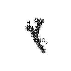 CC(C)c1ccccc1C1CCCN1C1CC2(CCN(c3cc(Oc4cnc5[nH]ccc5c4)c(C(=O)NSc4ccc(N5CC6(CCN(C7COC7)CC6)C5)c([N+](=O)[O-])c4)cn3)CC2)C1